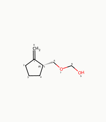 C=C1CCC[C@H]1COCO